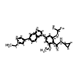 CCn1cc(-c2ccc3c(c2)ncn3-c2cc(OC)c(C(=O)NC3CC3)c(OC(F)F)c2)cn1